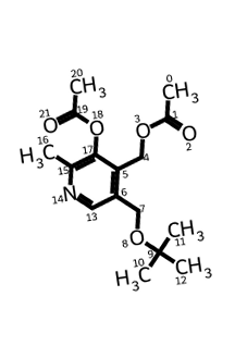 CC(=O)OCc1c(COC(C)(C)C)cnc(C)c1OC(C)=O